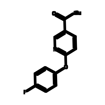 CC(C)(C)C(=O)c1ccc(Oc2ccc(F)cc2)nc1